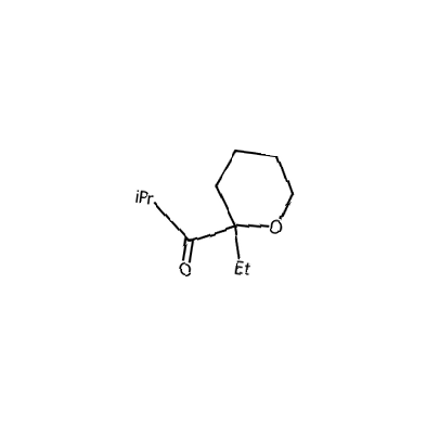 CCC1(C(=O)C(C)C)CCCCO1